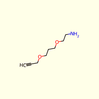 C#CCOCCCOCCN